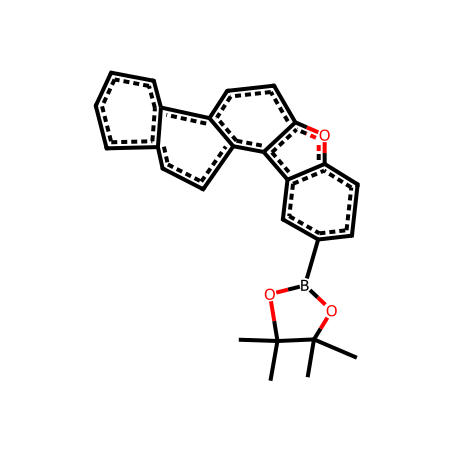 CC1(C)OB(c2ccc3oc4ccc5c6ccccc6ccc5c4c3c2)OC1(C)C